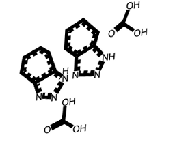 O=C(O)O.O=C(O)O.c1ccc2[nH]nnc2c1.c1ccc2[nH]nnc2c1